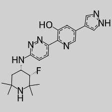 CC1(C)C[C@H](Nc2ccc(-c3ncc(-c4cn[nH]c4)cc3O)nn2)[C@H](F)C(C)(C)N1